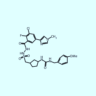 COc1ccc(CNC(=O)NC2CCC(CS(=O)(=O)NNC(=O)c3cc(-c4cn(C)cn4)cc(Cl)c3F)C2)cc1